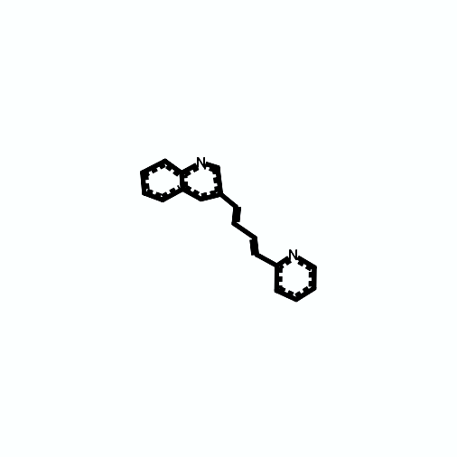 C(C=Cc1ccccn1)=Cc1cnc2ccccc2c1